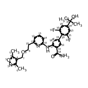 Cc1noc(C)c1COCCc1cccc(Nc2sc(-c3c(F)cc(C(C)(C)O)cc3F)cc2C(N)=O)n1